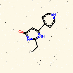 CC(C)Cc1nc(=O)cc(-c2ccncc2)[nH]1